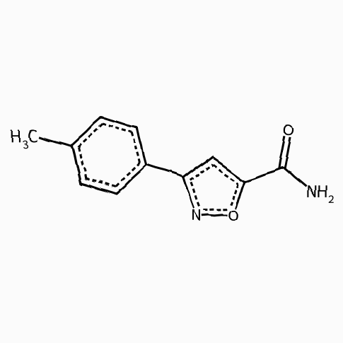 Cc1ccc(-c2cc(C(N)=O)on2)cc1